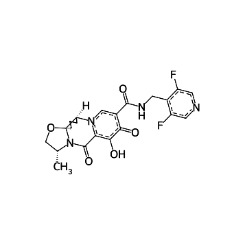 C[C@@H]1CO[C@@]23CCC[C@@H]2n2cc(C(=O)NCc4c(F)cncc4F)c(=O)c(O)c2C(=O)N13